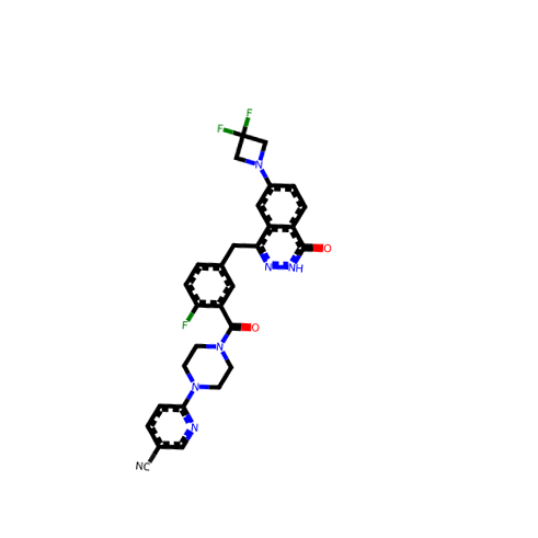 N#Cc1ccc(N2CCN(C(=O)c3cc(Cc4n[nH]c(=O)c5ccc(N6CC(F)(F)C6)cc45)ccc3F)CC2)nc1